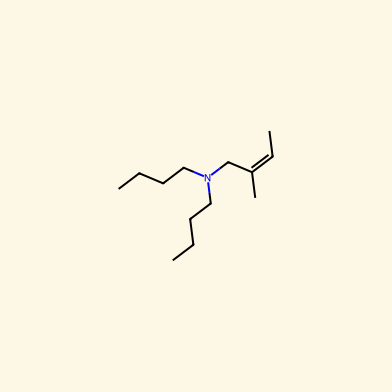 CC=C(C)CN(CCCC)CCCC